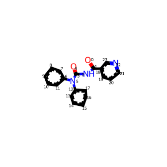 O=C(NC(=O)N(c1ccccc1)c1ccccc1)c1cccnc1